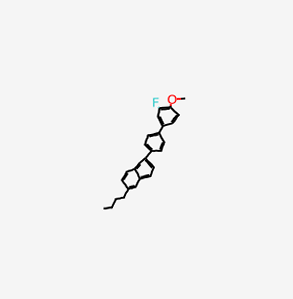 CCCCc1ccc2cc(-c3ccc(-c4ccc(OC)c(F)c4)cc3)ccc2c1